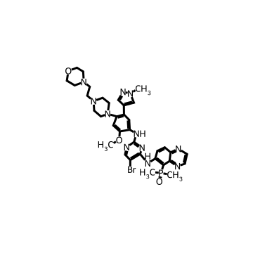 COc1cc(N2CCN(CCN3CCOCC3)CC2)c(-c2cnn(C)c2)cc1Nc1ncc(Br)c(Nc2ccc3nccnc3c2P(C)(C)=O)n1